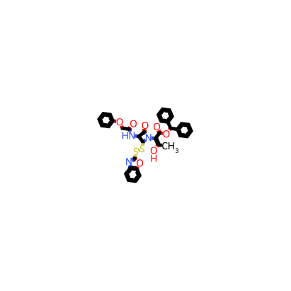 CC(O)=C(C(=O)OC(c1ccccc1)c1ccccc1)N1C(=O)C(NC(=O)COc2ccccc2)C1SSc1nc2ccccc2o1